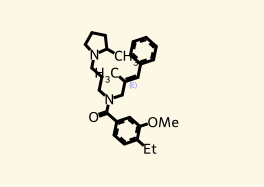 CCc1ccc(C(=O)N(CCCN2CCCC2C)C/C(C)=C/c2ccccc2)cc1OC